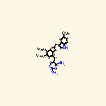 COc1ccc2[nH]cc(Cc3cc4c(Cc5cnc(N)nc5N)cc(OC)c(OC)c4o3)c2c1